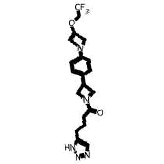 O=C(CCCc1cnn[nH]1)N1CC(c2ccc(N3CC(OCC(F)(F)F)C3)cc2)C1